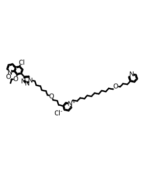 CC(=O)Oc1c(-c2cn(CCCCCCOCCCc3ccc[n+](CCCCCCCCCCCCOCCCc4cccnc4)c3)nn2)cc(Cl)c2cccnc12.[Cl-]